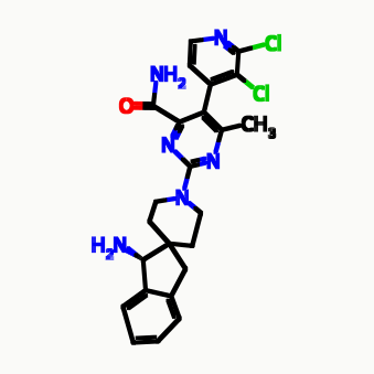 Cc1nc(N2CCC3(CC2)Cc2ccccc2[C@H]3N)nc(C(N)=O)c1-c1ccnc(Cl)c1Cl